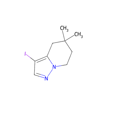 CC1(C)CCn2ncc(I)c2C1